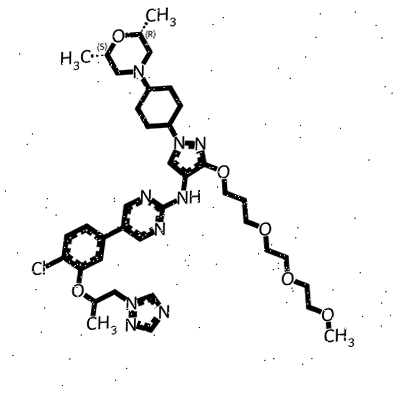 COCCOCCOCCCOc1nn(C2CCC(N3C[C@@H](C)O[C@@H](C)C3)CC2)cc1Nc1ncc(-c2ccc(Cl)c(OC(C)Cn3cncn3)c2)cn1